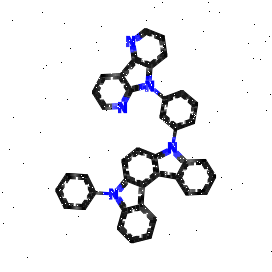 c1ccc(-n2c3ccccc3c3c4c5ccccc5n(-c5cccc(-n6c7cccnc7c7cccnc76)c5)c4ccc32)cc1